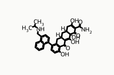 CC(C)NCc1ccc(-c2ccc(O)c3c2C[C@H]2C[C@H]4CC(O)=C(C(N)=O)C(=O)[C@@]4(O)C(O)=C2C3=O)c2ccccc12